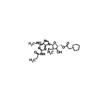 CCC(=O)Nc1nc(NC)c2ncn(C3O[C@H](COC(=O)CC4CCCCC4)[C@@H](O)[C@@]3(C)F)c2n1